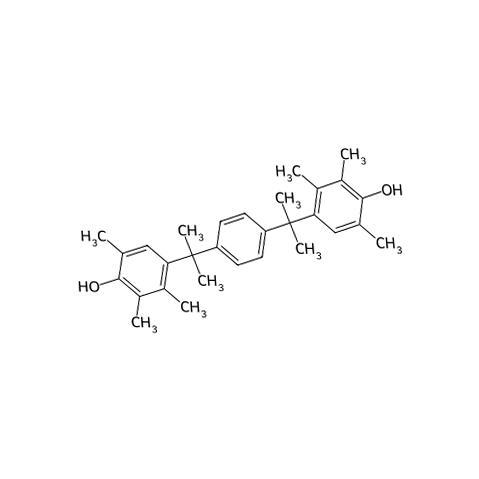 Cc1cc(C(C)(C)c2ccc(C(C)(C)c3cc(C)c(O)c(C)c3C)cc2)c(C)c(C)c1O